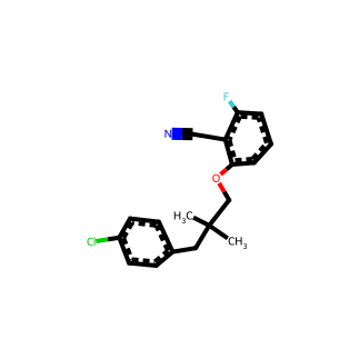 CC(C)(COc1cccc(F)c1C#N)Cc1ccc(Cl)cc1